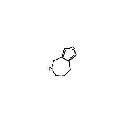 c1scc2c1CCCNC2